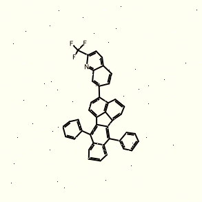 FC(F)(F)c1ccc2ccc(-c3ccc4c5c(cccc35)-c3c-4c(-c4ccccc4)c4ccccc4c3-c3ccccc3)cc2n1